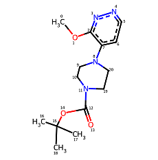 COc1nnccc1N1CCN(C(=O)OC(C)(C)C)CC1